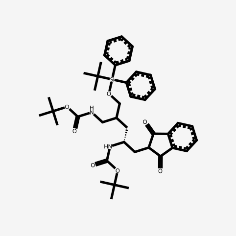 CC(C)(C)OC(=O)NCC(CO[Si](c1ccccc1)(c1ccccc1)C(C)(C)C)C[C@H](CC1C(=O)c2ccccc2C1=O)NC(=O)OC(C)(C)C